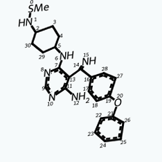 CSNC1CCC(Nc2ncnc(N)c2C(=N)c2ccc(Oc3ccccc3)cc2)CC1